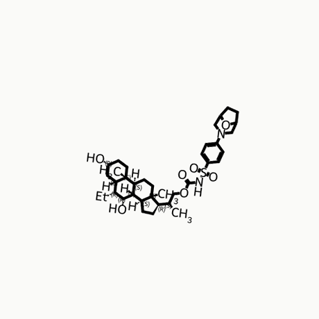 CC[C@H]1[C@@H](O)[C@@H]2[C@H](CC[C@]3(C)[C@@H]([C@H](C)COC(=O)NS(=O)(=O)c4ccc(N5CC6CCC(C5)O6)cc4)CC[C@@H]23)[C@@]2(C)CC[C@@H](O)C[C@@H]12